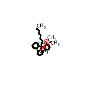 CCCCCCCC(F)(C(c1ccccc1)(c1ccccc1)c1ccccc1)[Si](OCC)(OCC)OCC